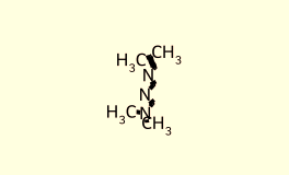 CC(C)=CN=CN=CN(C)C